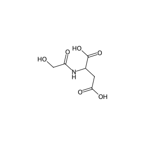 O=C(O)CC(NC(=O)CO)C(=O)O